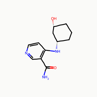 NC(=O)c1cnccc1N[C@H]1CCC[C@@H](O)C1